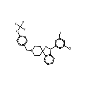 FC(F)(F)Oc1ccc(CN2CCC3(CC2)OC(c2cc(Cl)cc(Cl)c2)c2ncccc23)cc1